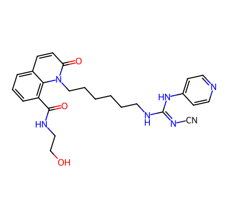 N#CN=C(NCCCCCCn1c(=O)ccc2cccc(C(=O)NCCO)c21)Nc1ccncc1